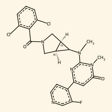 CN(c1nc(-c2ccncc2F)cc(=O)n1C)C1[C@H]2CN(C(=O)c3c(Cl)cccc3Cl)C[C@@H]12